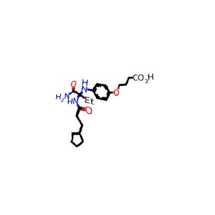 CCC(NC(=O)CCC1CCCC1)(Nc1ccc(OCCCC(=O)O)cc1)C(N)=O